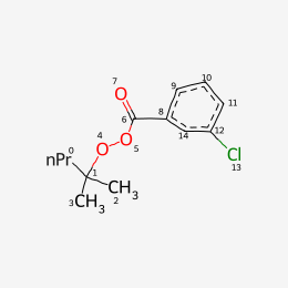 CCCC(C)(C)OOC(=O)c1cccc(Cl)c1